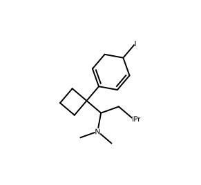 CC(C)CC(N(C)C)C1(C2=CCC(I)C=C2)CCC1